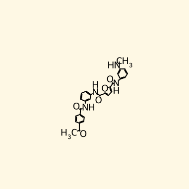 CNc1cccc(NC(=O)c2ccc(C(=O)Nc3cccc(NC(=O)c4ccc(C(C)=O)cc4)c3)o2)c1